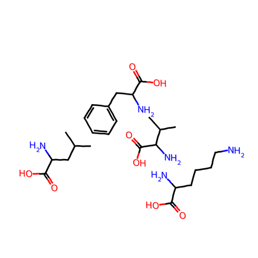 CC(C)C(N)C(=O)O.CC(C)CC(N)C(=O)O.NC(Cc1ccccc1)C(=O)O.NCCCCC(N)C(=O)O